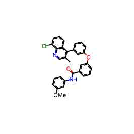 COc1cccc(NC(=O)c2cccc(Oc3cccc(-c4c(C)cnc5c(Cl)cccc45)c3)c2)c1